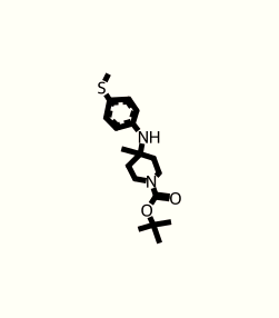 CSc1ccc(NC2(C)CCN(C(=O)OC(C)(C)C)CC2)cc1